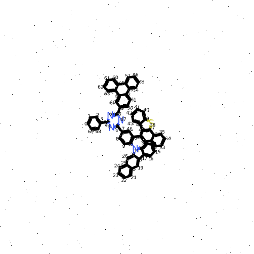 c1ccc(-c2nc(-c3ccc(-n4c5ccccc5c5cc6ccccc6cc54)c(-c4cc5ccccc5c5sc6ccccc6c45)c3)nc(-c3ccc4c5ccccc5c5ccccc5c4c3)n2)cc1